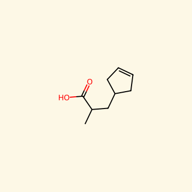 CC(CC1CC=CC1)C(=O)O